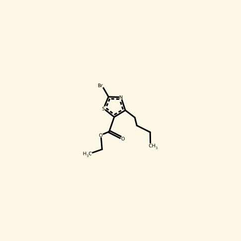 CCCCc1nc(Br)sc1C(=O)OCC